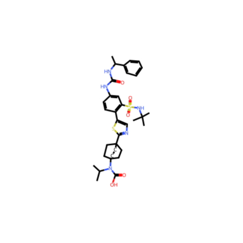 CC(NC(=O)Nc1ccc(-c2cnc(C34CCC(N(C(=O)O)C(C)C)(CC3)CC4)s2)c(S(=O)(=O)NC(C)(C)C)c1)c1ccccc1